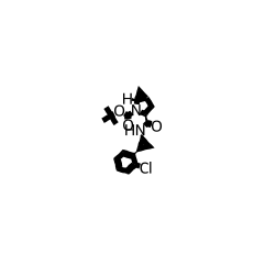 CC(C)(C)OC(=O)N1[C@@H]2CC2C[C@H]1C(=O)N[C@H]1C[C@@H]1c1ccccc1Cl